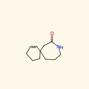 O=C1CC2(C=CCCC2)CCCN1